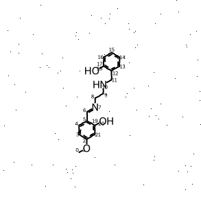 COc1ccc(C=NCCNCc2ccccc2O)c(O)c1